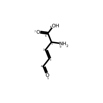 NC(C=CC=O)C(=O)O